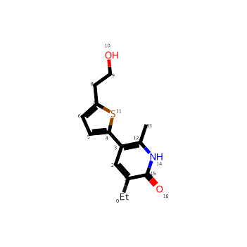 CCc1cc(-c2ccc(CCO)s2)c(C)[nH]c1=O